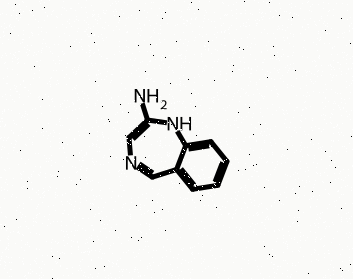 NC1=CN=Cc2ccccc2N1